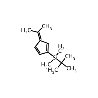 CC(C)=C1C=CC([Si](C)(C)C(C)(C)C)=C1